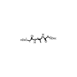 CCCCCCCCCCCC(=O)N/C=C(\C)NC(=O)CCCCCCCCCCC